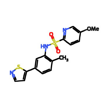 COc1ccc(S(=O)(=O)Nc2cc(-c3ccns3)ccc2C)nc1